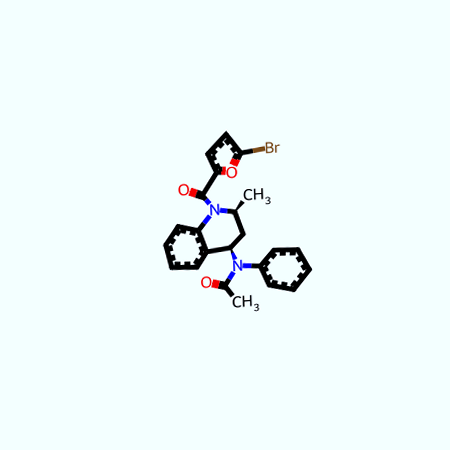 CC(=O)N(c1ccccc1)[C@@H]1C[C@H](C)N(C(=O)c2ccc(Br)o2)c2ccccc21